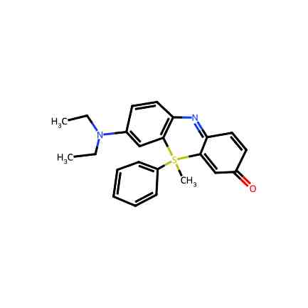 CCN(CC)c1ccc2c(c1)S(C)(c1ccccc1)C1=CC(=O)C=CC1=N2